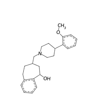 COc1ccccc1C1CCN(CC2CCc3ccccc3C(O)C2)CC1